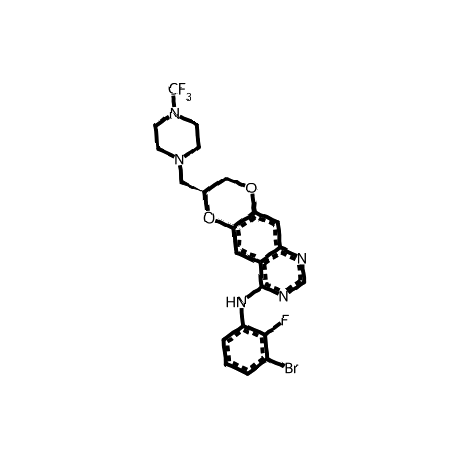 Fc1c(Br)cccc1Nc1ncnc2cc3c(cc12)O[C@@H](CN1CCN(C(F)(F)F)CC1)CO3